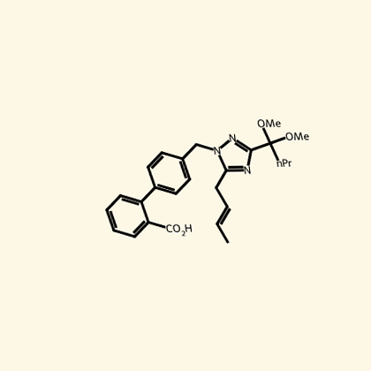 CC=CCc1nc(C(CCC)(OC)OC)nn1Cc1ccc(-c2ccccc2C(=O)O)cc1